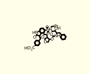 CC(C)CN(CC(O)C(Cc1ccccc1)NC(=O)OC1COC2OCCC12)S(=O)(=O)c1ccc2c(c1)C(=Cc1ccc(C(=O)O)cc1)C(=O)N2